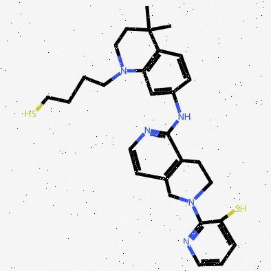 CC1(C)CCN(CCCCS)c2cc(Nc3nccc4c3CCN(c3ncccc3S)C4)ccc21